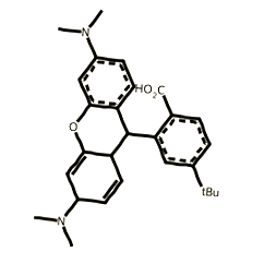 CN(C)c1ccc2c(c1)OC1=CC(N(C)C)C=CC1C2c1cc(C(C)(C)C)ccc1C(=O)O